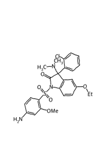 CCOc1ccc2c(c1)C(c1ccccc1Cl)(N(C)C)C(=O)N2S(=O)(=O)c1ccc(N)cc1OC